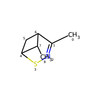 CC1=NSC2CC1C2C